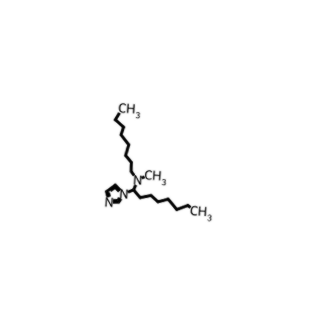 CCCCCCCCN(C)C(CCCCCCC)n1ccnc1